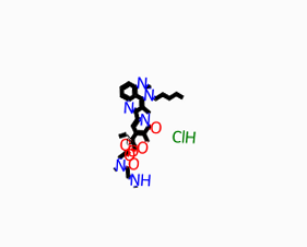 CCCCCN1C=Nc2cccc3nc4c(c1c23)Cn1c-4cc2c(c1=O)COC(=O)[C@@]2(CC)OC(=O)CN(C)C(=O)CNC.Cl